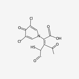 CC(=O)C(=C(C(=O)O)n1cc(Cl)c(=O)c(Cl)c1)C(S)[C]=O